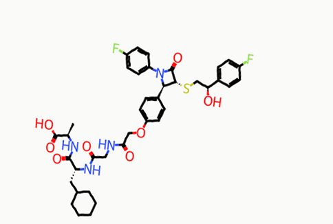 C[C@@H](NC(=O)[C@@H](CC1CCCCC1)NC(=O)CNC(=O)COc1ccc([C@@H]2[C@@H](SC[C@H](O)c3ccc(F)cc3)C(=O)N2c2ccc(F)cc2)cc1)C(=O)O